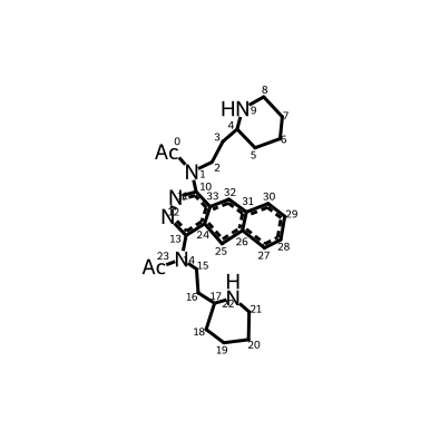 CC(=O)N(CCC1CCCCN1)c1nnc(N(CCC2CCCCN2)C(C)=O)c2cc3ccccc3cc12